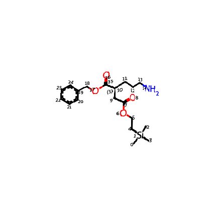 C[Si](C)(C)CCOC(=O)C[C@H](CCCN)C(=O)OCc1ccccc1